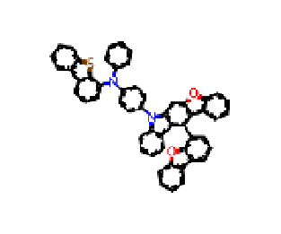 c1ccc(N(c2ccc(-n3c4ccccc4c4c(-c5cccc6c5oc5ccccc56)c5c(cc43)oc3ccccc35)cc2)c2cccc3c2sc2ccccc23)cc1